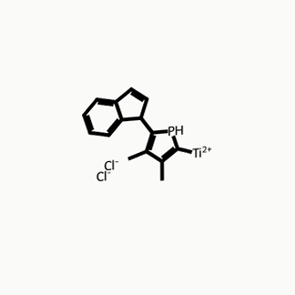 Cc1[c]([Ti+2])[pH]c(C2C=Cc3ccccc32)c1C.[Cl-].[Cl-]